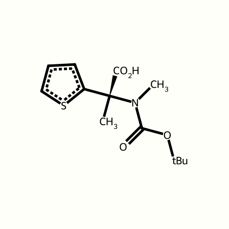 CN(C(=O)OC(C)(C)C)[C@@](C)(C(=O)O)c1cccs1